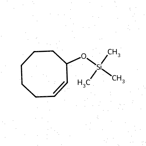 C[Si](C)(C)OC1C=CCCCCC1